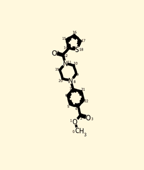 COC(=O)c1ccc(N2CCN(C(=O)c3cccs3)CC2)cc1